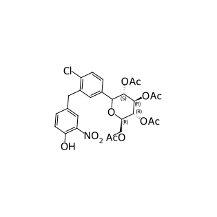 CC(=O)OC[C@H]1OC(c2ccc(Cl)c(Cc3ccc(O)c([N+](=O)[O-])c3)c2)[C@H](OC(C)=O)[C@@H](OC(C)=O)[C@@H]1OC(C)=O